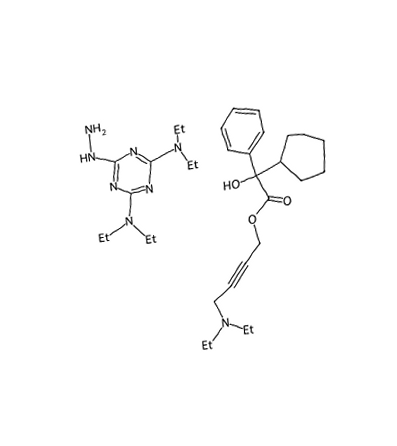 CCN(CC)CC#CCOC(=O)C(O)(c1ccccc1)C1CCCCC1.CCN(CC)c1nc(NN)nc(N(CC)CC)n1